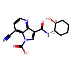 N#Cc1ccnc2c(C(=O)N[C@H]3CCCC[C@@H]3O)cn(C(=O)O)c12